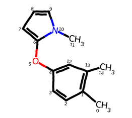 Cc1ccc(Oc2cc[c]n2C)cc1C